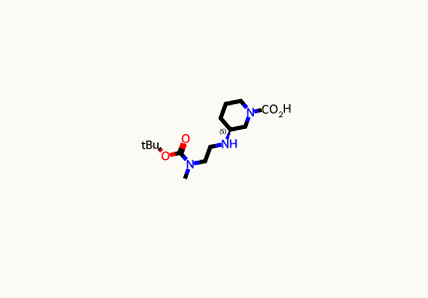 CN(CCN[C@H]1CCCN(C(=O)O)C1)C(=O)OC(C)(C)C